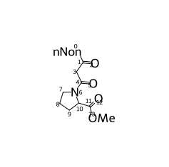 CCCCCCCCCC(=O)CC(=O)N1CCCC1C(=O)OC